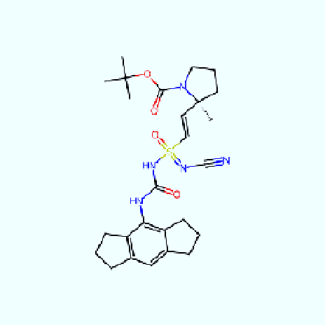 CC(C)(C)OC(=O)N1CCC[C@@]1(C)/C=C/S(=O)(=NC#N)NC(=O)Nc1c2c(cc3c1CCC3)CCC2